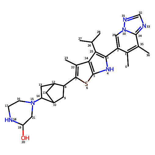 Cc1c(-c2[nH]c3sc(C4CC5CC4CC5N4CCNC(O)C4)c(C)c3c2C(C)C)cn2ncnc2c1C